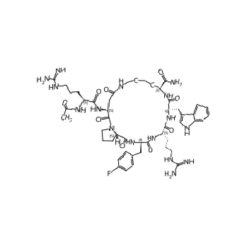 CC(=O)N[C@@H](CCCNC(=N)N)C(=O)N[C@H]1CC(=O)NCCCC[C@@H](C(N)=O)NC(=O)[C@H](Cc2c[nH]c3ccccc23)NC(=O)[C@H](CCCNC(=N)N)NC(=O)[C@@H](Cc2ccc(F)cc2)NC(=O)[C@@H]2CCCN2C1=O